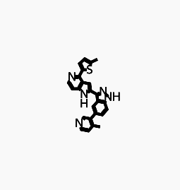 Cc1ccc(-c2nccc3[nH]c(-c4n[nH]c5ccc(-c6cnccc6C)cc45)cc23)s1